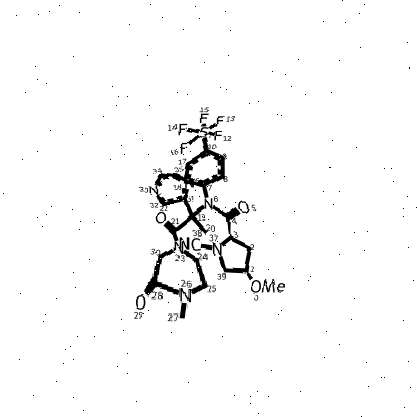 CO[C@@H]1C[C@H](C(=O)N(c2ccc(S(F)(F)(F)(F)F)cc2)C(C)(C(=O)N2CCN(C)C(=O)C2)c2cnccn2)N(C#N)C1